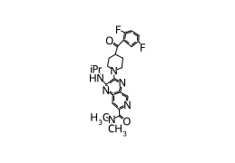 CC(C)Nc1nc2cc(C(=O)N(C)C)ncc2nc1N1CCC(C(=O)c2cc(F)ccc2F)CC1